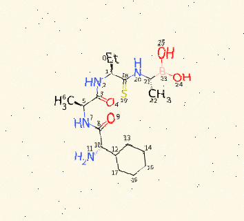 CC[C@H](NC(=O)[C@H](C)NC(=O)[C@@H](N)C1CCCCC1)C(=S)N[C@@H](C)B(O)O